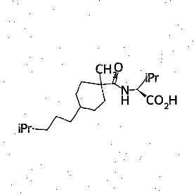 CC(C)CCCC1CCC(C)(C(=O)N[C@H](C(=O)O)C(C)C)CC1